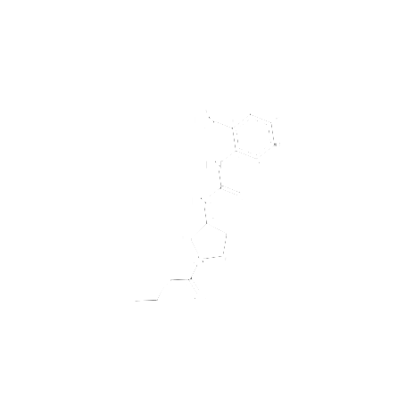 CCOC(=O)N1CCC(NC(=S)Nc2ccccc2N)C1